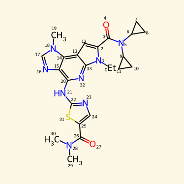 CCn1c(C(=O)N(C2CC2)C2CC2)cc2c3c(ncn3C)c(Nc3ncc(C(=O)N(C)C)s3)nc21